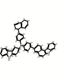 C1=CC2=C(C=CCC2c2ccc(N(c3ccc(-c4ccc5c(ccc6oc7ccccc7c65)c4)cc3)c3ccc4oc5ccccc5c4c3)cc2)CC1